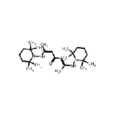 CC(=CC(=O)C=C(C)NN1C(C)(C)CCCC1(C)C)NN1C(C)(C)CCCC1(C)C